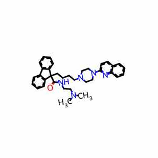 CN(C)CCNC(=O)C1(CCCCN2CCN(c3ccc4ccccc4n3)CC2)c2ccccc2-c2ccccc21